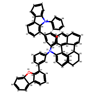 c1ccc(-n2c3ccccc3c3cccc(-c4cccc(N(c5cccc(-c6cccc7c6oc6ccccc67)c5)c5ccccc5-c5cccc6cccc(C7CCCCC7)c56)c4)c32)cc1